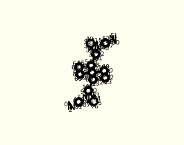 CN(C)c1ccc(N2c3ccc(-c4ccc5c(-c6cccc7ccccc67)c6cc(-c7ccc8c(c7)C7(C)CCCCC7(C)N8c7ccc(N(C)C)cc7)ccc6c(-c6cccc7ccccc67)c5c4)cc3C3(C)CCCCC23C)cc1